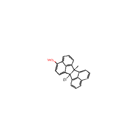 CCC12c3cccc4cccc(c34)C1(C)c1cccc3c(O)ccc2c13